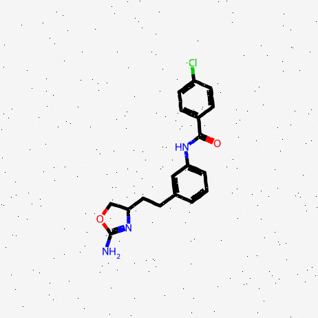 NC1=NC(CCc2cccc(NC(=O)c3ccc(Cl)cc3)c2)CO1